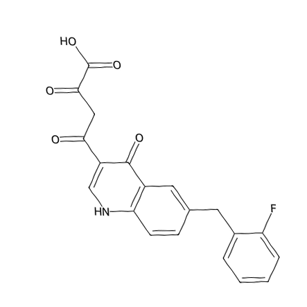 O=C(O)C(=O)CC(=O)c1c[nH]c2ccc(Cc3ccccc3F)cc2c1=O